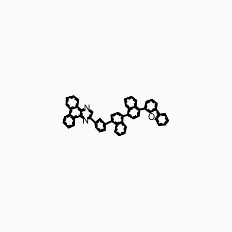 c1cc(-c2cnc3c4ccccc4c4ccccc4c3n2)cc(-c2ccc(-c3ccc(-c4cccc5c4oc4ccccc45)c4ccccc34)c3ccccc23)c1